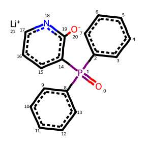 O=P(c1ccccc1)(c1ccccc1)c1cccnc1[O-].[Li+]